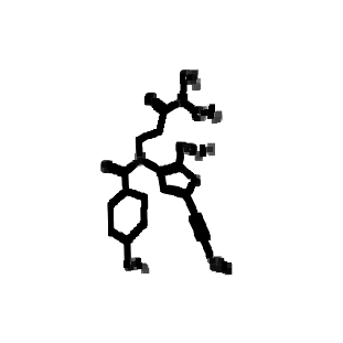 CC1CCC(C(=O)N(CCC(=O)N(C)C)c2cc(C#CC(C)(C)C)sc2C(=O)O)CC1